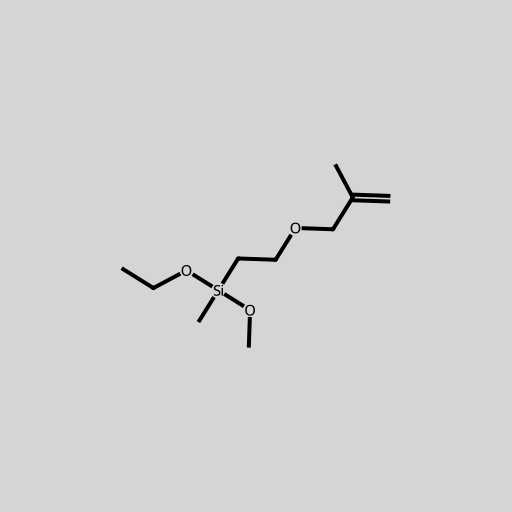 C=C(C)COCC[Si](C)(OC)OCC